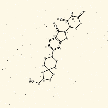 O=C1CCC(N2Cc3cc(N4CCC5(CCC(CO)C5)CC4)ccc3C2=O)C(=O)N1